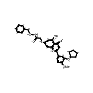 COc1ccc(-c2cc(=O)c3c(O)cc(OCC(=O)NOCc4ccccc4)cc3o2)cc1OC1CCCC1